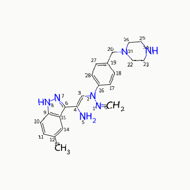 C=NN(/C=C(\N)c1n[nH]c2ccc(C)cc12)c1ccc(CN2CCNCC2)cc1